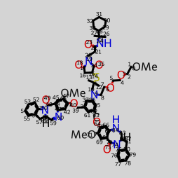 COCCOCCOCCN(CC(C)(C)SC1CC(=O)N(CCC(=O)NC(C)(C)C2CCCCC2)C1=O)c1cc(COc2cc3c(cc2OC)C(=O)N2c4ccccc4C[C@H]2C=N3)cc(COc2cc3c(cc2OC)C(=O)N2c4ccccc4C[C@H]2CN3)c1